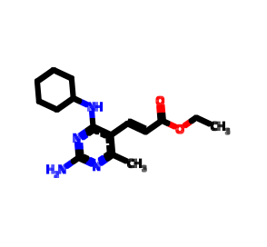 CCOC(=O)/C=C/c1c(C)nc(N)nc1NC1CCCCC1